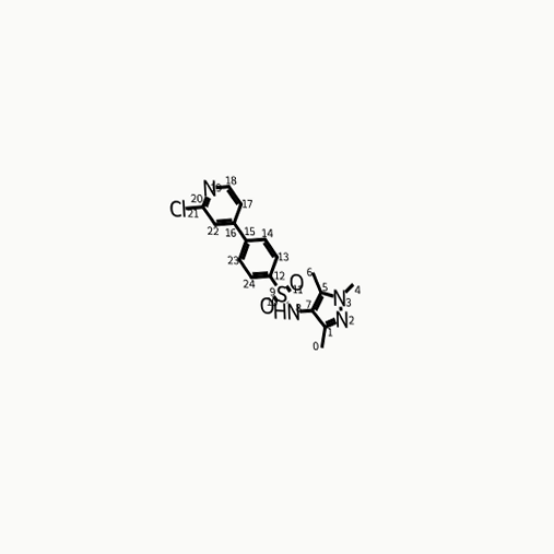 Cc1nn(C)c(C)c1NS(=O)(=O)c1ccc(-c2ccnc(Cl)c2)cc1